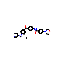 O=CN(c1ccncc1)c1ccc(C(=O)c2ccc(NC(=O)c3ccc(N4CCOCC4)cc3)cc2)cc1